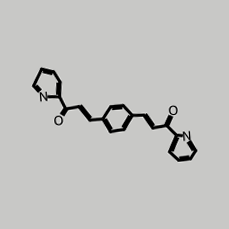 O=C(/C=C/c1ccc(/C=C/C(=O)c2ccccn2)cc1)c1ccccn1